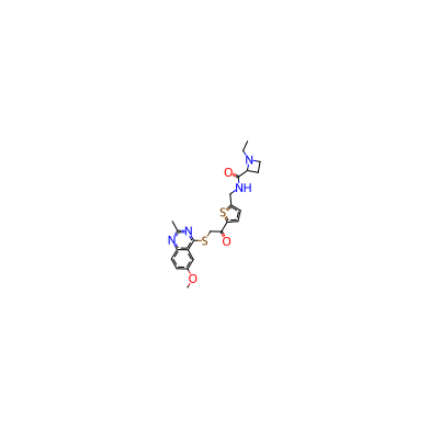 CCN1CCC1C(=O)NCc1ccc(C(=O)CSc2nc(C)nc3ccc(OC)cc23)s1